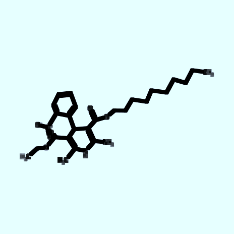 CCCCCCCCCCOC(=O)C1=C(N)NC(C)=C(C(=O)OCC)C1c1ccccc1[N+](=O)[O-]